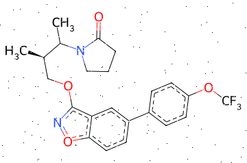 CC([C@H](C)COc1noc2ccc(-c3ccc(OC(F)(F)F)cc3)cc12)N1CCCC1=O